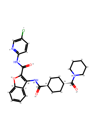 O=C(Nc1ccc(Cl)cn1)c1oc2ccccc2c1NC(=O)[C@H]1CC[C@H](C(=O)N2CCCCC2)CC1